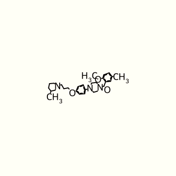 COc1ccc(C)cc1C(=O)N1CCN(c2ccc(OCCCN3CCCC(C)C3)cc2)CC1